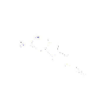 C#CSCc1csc(N=C(N)N)n1